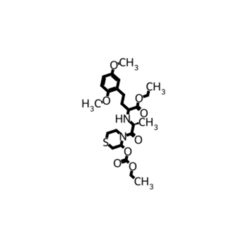 CCOC(=O)OC1CSCCN1C(=O)[C@H](C)NC(CCc1cc(OC)ccc1OC)C(=O)OCC